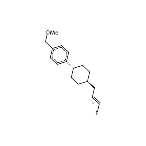 COCc1ccc([C@H]2CC[C@H](C/C=C/F)CC2)cc1